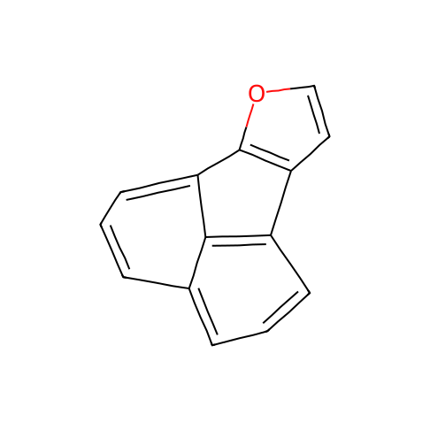 c1cc2c3c(cccc3c1)-c1occc1-2